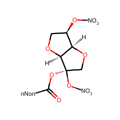 CCCCCCCCCC(=O)O[C@@]1(O[N+](=O)[O-])CO[C@@H]2[C@H](O[N+](=O)[O-])CO[C@@H]21